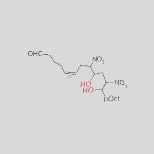 CCCCCCCCC(O)C(CC(O)C(C/C=C\CCCC=O)[N+](=O)[O-])[N+](=O)[O-]